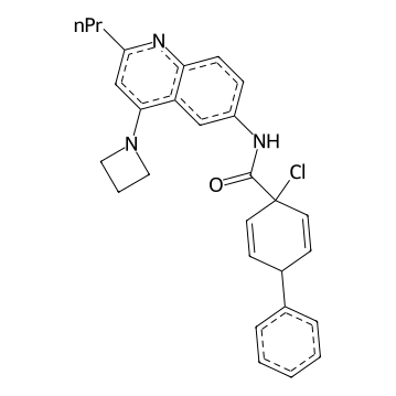 CCCc1cc(N2CCC2)c2cc(NC(=O)C3(Cl)C=CC(c4ccccc4)C=C3)ccc2n1